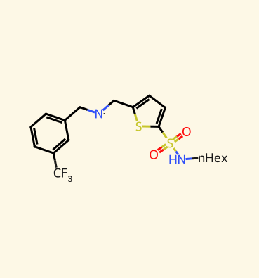 CCCCCCNS(=O)(=O)c1ccc(C[N]Cc2cccc(C(F)(F)F)c2)s1